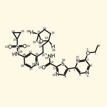 CCOc1cncc(-c2cnc(C(=O)N[C@H](c3cc(NS(=O)(=O)C4CC4)ccn3)[C@@H]3C[C@@H]4CC[C@H]3O4)s2)n1